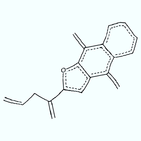 C=CCC(=C)c1cc2c(=C)c3ccccc3c(=C)c2o1